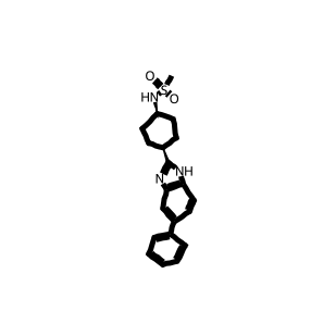 CS(=O)(=O)N[C@H]1CC[C@@H](c2nc3cc(-c4ccccc4)ccc3[nH]2)CC1